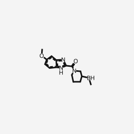 CBC1CCCN(C(=O)c2nc3cc(OC)ccc3[nH]2)C1